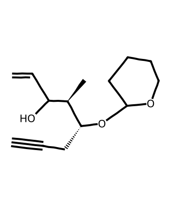 C#CC[C@@H](OC1CCCCO1)[C@H](C)C(O)C=C